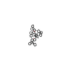 c1ccc(-c2nc(-c3cccc4oc5ccc(-c6ccc7oc8ccccc8c7c6)cc5c34)nc(-c3cccc4oc5ccc(-c6ccc7c(c6)c6ccccc6n7-c6ccccc6)cc5c34)n2)cc1